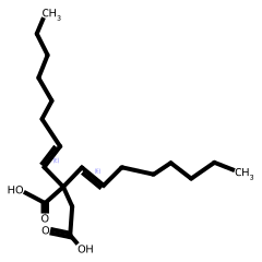 CCCCCC/C=C/C(/C=C/CCCCCC)(CC(=O)O)C(=O)O